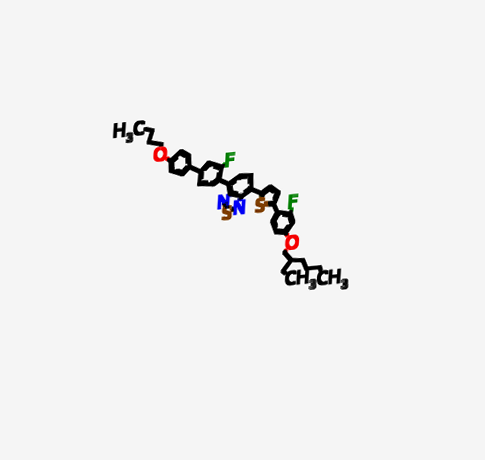 CCCCOc1ccc(-c2ccc(-c3ccc(-c4ccc(-c5ccc(OCC(CC)CCCC)cc5F)s4)c4nsnc34)c(F)c2)cc1